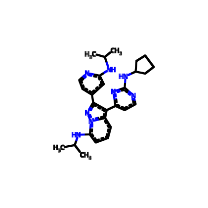 CC(C)Nc1cc(-c2nn3c(NC(C)C)cccc3c2-c2ccnc(NC3CCCC3)n2)ccn1